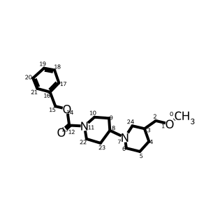 COCC1CCCN(C2CCN(C(=O)OCc3ccccc3)CC2)C1